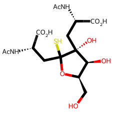 CC(=O)N[C@@H](CC1(S)O[C@H](CO)[C@H](O)[C@]1(O)C[C@H](NC(C)=O)C(=O)O)C(=O)O